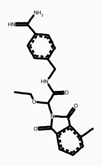 CCOC(C(=O)NCc1ccc(C(=N)N)cc1)N1C(=O)c2cccc(C)c2C1=O